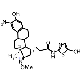 CO/N=C1\C[C@@H](CCC(=O)Nc2ncc(C)s2)C2C3CCc4cc(O)c(N)cc4C3CC[C@]12C